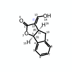 O=C1O[C@@H]2c3ccccc3C[C@@H]2/C1=C\O